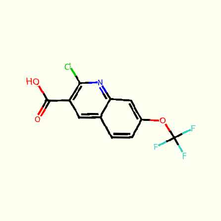 O=C(O)c1cc2ccc(OC(F)(F)F)cc2nc1Cl